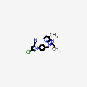 CCc1nc2c(C)ccnc2n1Cc1ccc(-n2cc(Cl)cc2C#N)cc1